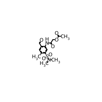 CC(=O)OCC(=O)Nc1cc(S(=O)(=O)N(C)C)c(C)cc1C=O